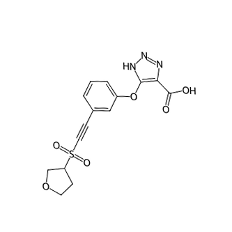 O=C(O)c1nn[nH]c1Oc1cccc(C#CS(=O)(=O)C2CCOC2)c1